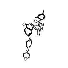 Cc1ccc(S(=O)(=O)c2n[nH]n3c2nc(=O)c2ccc(N4CCN(C5CCOCC5)CC4)cc23)c(C)c1